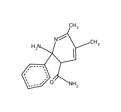 CC1=CC(C(N)=O)C(N)(c2ccccc2)N=C1C